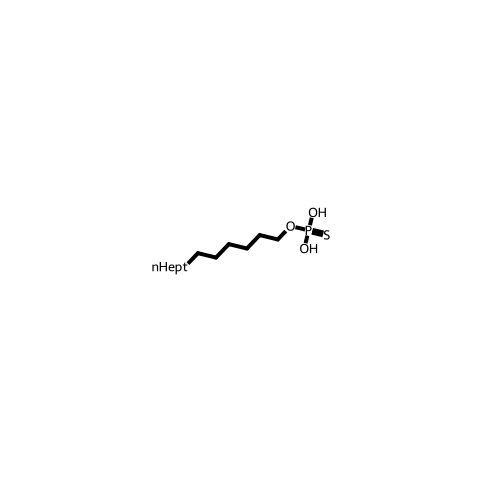 CCCCCCCCCCCCCOP(O)(O)=S